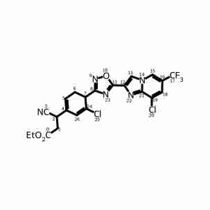 CCOC(=O)CC(C#N)C1=CCC(c2noc(-c3cn4cc(C(F)(F)F)cc(Cl)c4n3)n2)C(Cl)=C1